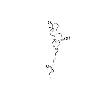 CCOC(=O)CCCCC[C@H]1CC[C@]2(C)C3CC[C@]4(C)C(=O)CCC4C3C[C@H](O)C2C1